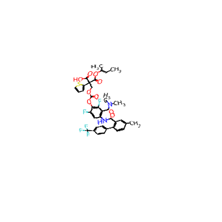 CCC(C)OC(=O)C(COC(=O)Oc1c(F)cc(NC(=O)c2cc(C)ccc2-c2ccc(C(F)(F)F)cc2)c(C(=O)N(C)C)c1F)(C(=O)O)c1cccs1